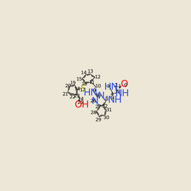 O=C1NCC(Nc2nc(NCc3ccccc3Sc3ccccc3CO)nc3ccccc23)N1